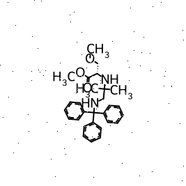 COC[C@H](NC(C)(C)CNC(c1ccccc1)(c1ccccc1)c1ccccc1)C(=O)OC